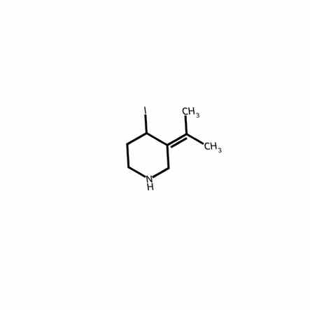 CC(C)=C1CNCCC1I